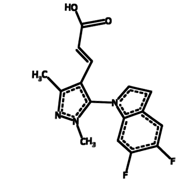 Cc1nn(C)c(-n2ccc3cc(F)c(F)cc32)c1C=CC(=O)O